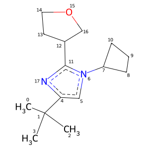 CC(C)(C)c1cn(C2CCC2)c(C2CCOC2)n1